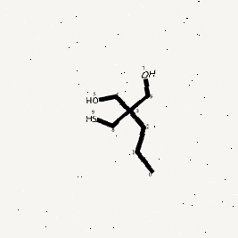 CCCC(CO)(CO)CS